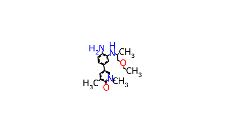 CCOC[C@H](C)Nc1cc(-c2cc(C)c(=O)n(C)c2)ccc1N